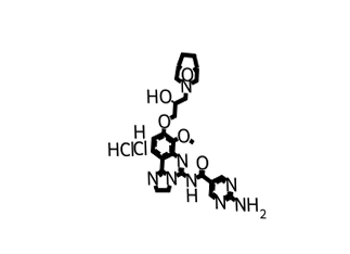 COc1c(OC[C@H](O)CN2CC3CCC(C2)O3)ccc2c1N=C(NC(=O)c1cnc(N)nc1)N1CCN=C21.Cl.Cl